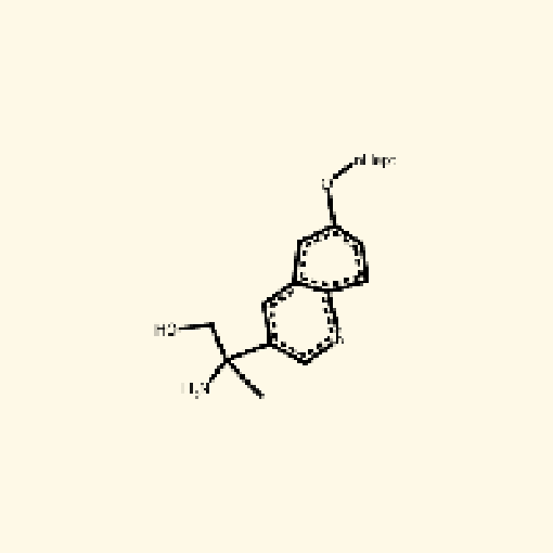 CCCCCCCOc1ccc2ncc(C(C)(N)CO)cc2c1